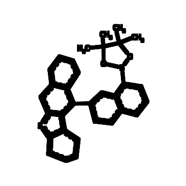 CC1(C)OB(c2cccc3ccc(-c4c5ccccc5cc5sc6ccccc6c45)cc23)OC1(C)C